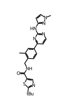 Cc1cc(-c2ccnc(Nc3ccn(C)n3)n2)ccc1CNC(=O)c1cnc(C(C)(C)C)s1